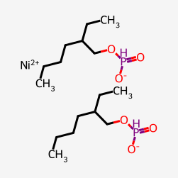 CCCCC(CC)CO[PH](=O)[O-].CCCCC(CC)CO[PH](=O)[O-].[Ni+2]